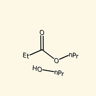 CCCO.CCCOC(=O)CC